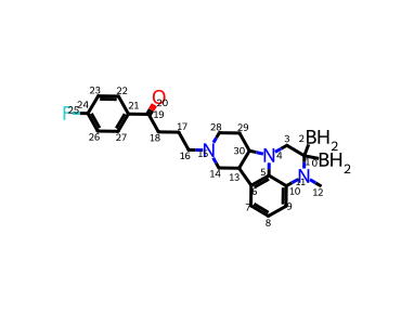 BC1(B)CN2c3c(cccc3N1C)C1CN(CCCC(=O)c3ccc(F)cc3)CCC12